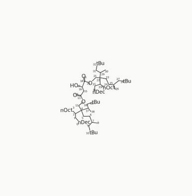 CCCCCCCCCCCC(CCCCCCCC)C(CCC(C)CC(C)(C)C)(COC(=O)CC(O)C(=O)OCC(CCC(C)CC(C)(C)C)(C(C)CC(C)(C)C)C(CCCCCCCC)CCCCCCCCCCC)C(C)CC(C)(C)C